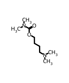 CN(C)CCCCOC(=O)N(C)C